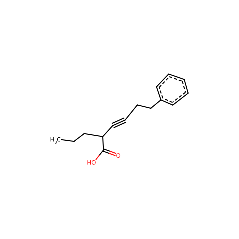 CCCC(C#CCCc1ccccc1)C(=O)O